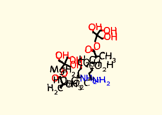 C=C(C)C(=O)OCC(CO)(CO)CO.C=C(C)C(=O)OCC(CO)(CO)CO.N[C@@H](CCC(=O)O)C(=O)O.N[C@@H](CCC(=O)O)C(=O)O.[MgH2]